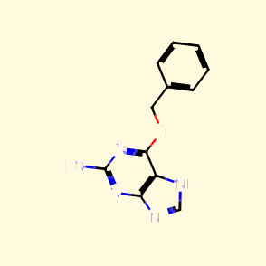 Nc1nc2c(c(OCc3ccccc3)n1)NC=[N+]2